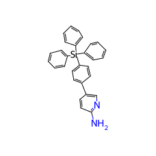 Nc1ccc(-c2ccc([Si](c3ccccc3)(c3ccccc3)c3ccccc3)cc2)cn1